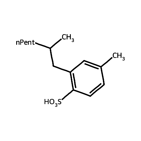 CCCCCC(C)Cc1cc(C)ccc1S(=O)(=O)O